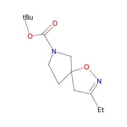 CCC1=NOC2(CCN(C(=O)OC(C)(C)C)C2)C1